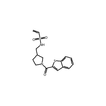 C=CS(=O)(=O)NCC1CCN(C(=O)c2cc3ccccc3s2)C1